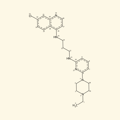 CCN1CCN(c2cccc(NCCCNc3ccnc4cc(Cl)ccc34)n2)CC1